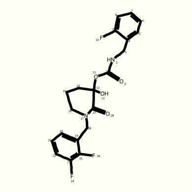 O=C(NCc1ccccc1F)OC1(O)CCCN(Cc2cccc(F)c2F)C1=O